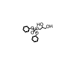 O=P(OCC(O)CO)(Oc1ccccc1)Oc1ccccc1